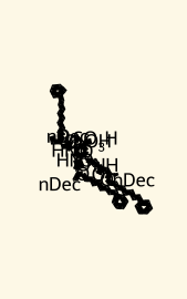 CCCCCCCCCCC[C@H](CC(=O)NCCO[C@@H]1OC(CO)[C@@H](OS(=O)(=O)O)C(NC(=O)C[C@@H](CCCCCCCCCCC)OCCCCCCCCc2ccccc2)[C@@H]1NC(=O)C[C@@H](CCCCCCCCCCC)OCCCCCCCCc1ccccc1)OCCCCCCCCc1ccccc1